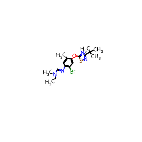 CCN(C)C=Nc1cc(C)c(Oc2nc(C(C)(C)C)ns2)cc1Br